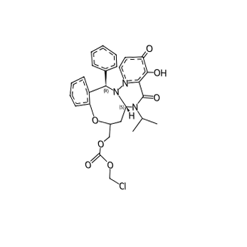 CC(C)N1C(=O)c2c(O)c(=O)ccn2N2[C@H](c3ccccc3)c3ccccc3OC(COC(=O)OCCl)C[C@@H]12